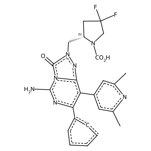 Cc1cc(-c2c(-c3ccccc3)nc(N)n3c(=O)n(C[C@@H]4CC(F)(F)CN4C(=O)O)nc23)cc(C)n1